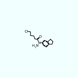 NN(C(=O)CCCCCl)c1ccc2c(c1)CCC2